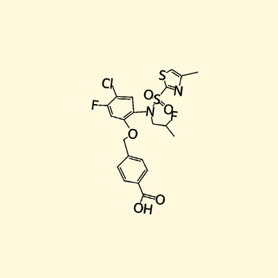 Cc1csc(S(=O)(=O)N(CC(C)F)c2cc(Cl)c(F)cc2OCc2ccc(C(=O)O)cc2)n1